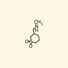 CNCC1CCCS(=O)(=O)C1